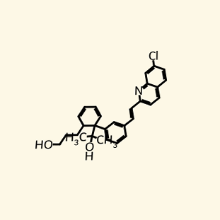 CC(C)(O)C1(c2cccc(/C=C/c3ccc4ccc(Cl)cc4n3)c2)C=CC=CC1CCCO